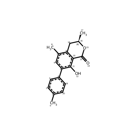 Cc1ccc(-c2cc(C)c3c(c2O)C(=O)O[C@H](C)C3)cc1